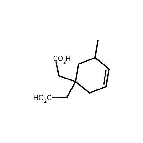 CC1C=CCC(CC(=O)O)(CC(=O)O)C1